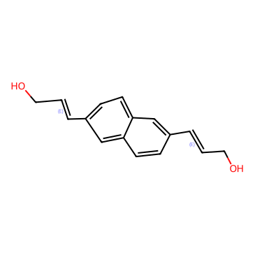 OC/C=C/c1ccc2cc(/C=C/CO)ccc2c1